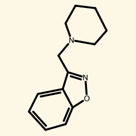 c1ccc2c(CN3CCCCC3)noc2c1